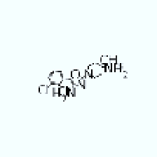 CC1(N)CCN(c2nc(N)c(-c3cccc(Cl)c3Cl)o2)CC1